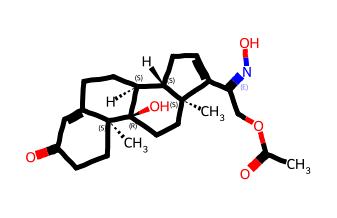 CC(=O)OC/C(=N/O)C1=CC[C@H]2[C@@H]3CCC4=CC(=O)CC[C@]4(C)[C@@]3(O)CC[C@]12C